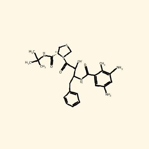 Cc1c(N)cc(N)cc1C(=O)NC(Cc1ccccc1)C(O)C(=O)N1CSC[C@H]1C(=O)NC(C)(C)C